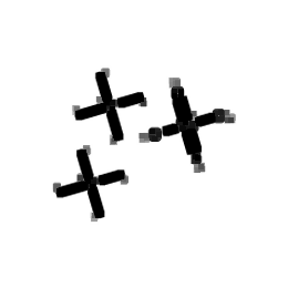 C[N+](C)(C)C.C[N+](C)(C)C.[O]=[Mo]([O-])([O-])=[S]